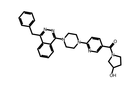 O=C(c1ccc(N2CCN(c3nnc(Cc4ccccc4)c4ccccc34)CC2)nc1)N1CCC(O)C1